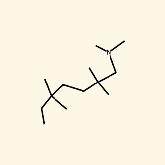 CCC(C)(C)CCC(C)(C)CN(C)C